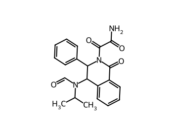 CC(C)N(C=O)C1c2ccccc2C(=O)N(C(=O)C(N)=O)C1c1ccccc1